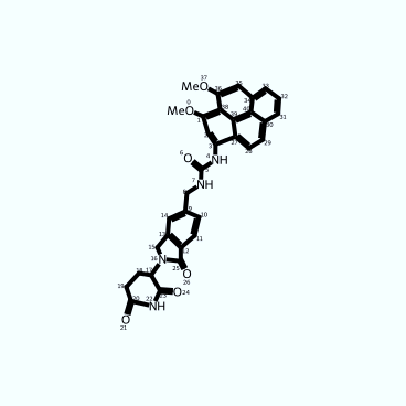 COc1cc(NC(=O)NCc2ccc3c(c2)CN(C2CCC(=O)NC2=O)C3=O)c2ccc3cccc4cc(OC)c1c2c34